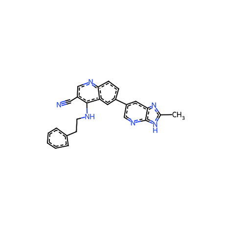 Cc1nc2cc(-c3ccc4ncc(C#N)c(NCCc5ccccc5)c4c3)cnc2[nH]1